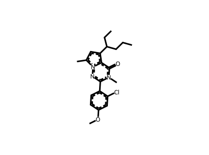 CCCC(CC)c1cc(C)n2nc(-c3ccc(OC)cc3Cl)n(C)c(=O)c12